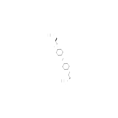 C=CCC[C@H]1CC[C@H](CC[C@H]2CC[C@H](OC/C=C/C)CC2)CC1